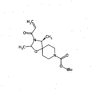 C=CC(=O)N1C(C)OC2(CCN(C(=O)OC(C)(C)C)CC2)[C@@H]1C